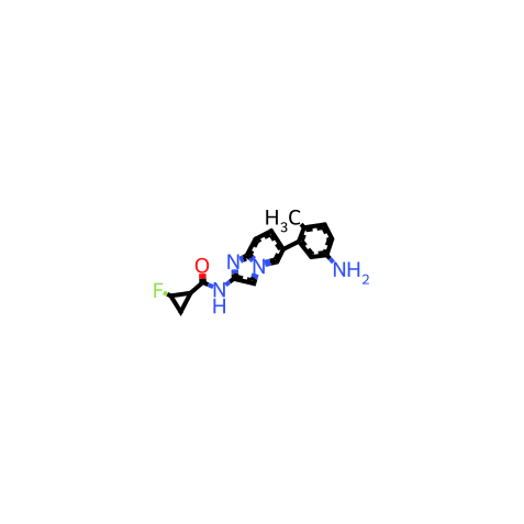 Cc1ccc(N)cc1-c1ccc2nc(NC(=O)C3CC3F)cn2c1